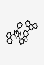 c1ccc(-c2nc(-c3cccc4ccccc34)nc(-c3cccc4oc5cc(-c6cc7ccccc7c7ccccc67)ccc5c34)n2)cc1